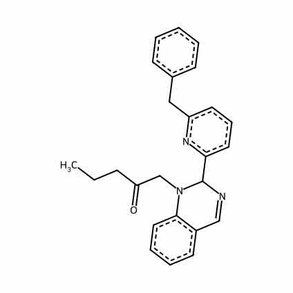 CCCC(=O)CN1c2ccccc2C=NC1c1cccc(Cc2ccccc2)n1